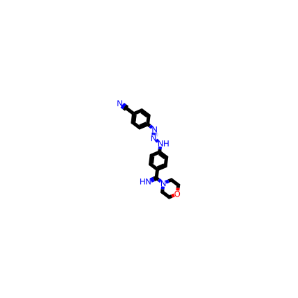 N#Cc1ccc(/N=N/Nc2ccc(C(=N)N3CCOCC3)cc2)cc1